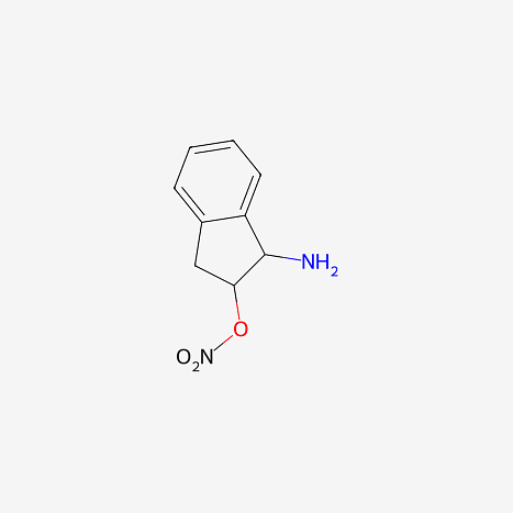 NC1c2ccccc2CC1O[N+](=O)[O-]